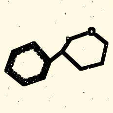 [C]1OCCCC1c1ccccc1